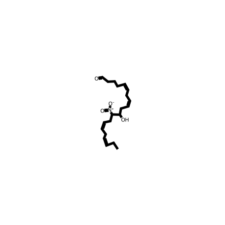 CC/C=C\C/C=C\CC(C(O)C/C=C\C/C=C\CCC[C]=O)[N+](=O)[O-]